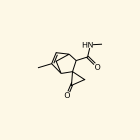 CNC(=O)C1C2C=C(C)C(C2)C12CC2=O